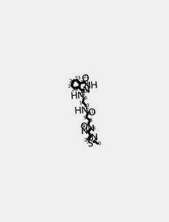 Cc1nc(-c2noc(CCC(=O)NCCCNc3n[nH]c(=O)c4ccccc34)n2)cs1